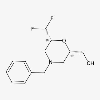 OC[C@@H]1CN(Cc2ccccc2)C[C@H](C(F)F)O1